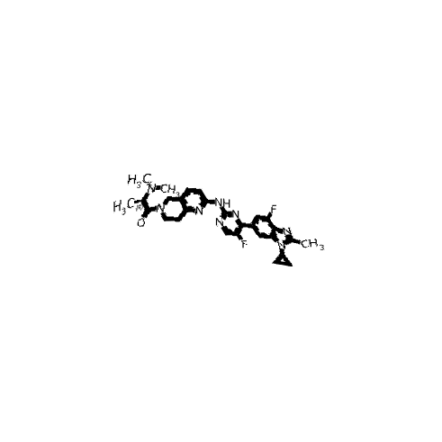 Cc1nc2c(F)cc(-c3nc(Nc4ccc5c(n4)CCN(C(=O)[C@@H](C)N(C)C)C5)ncc3F)cc2n1C1CC1